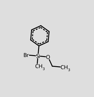 CCO[Si](C)(Br)c1ccccc1